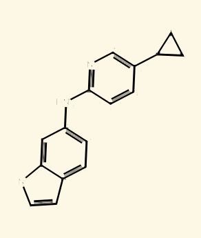 c1cc2ccc(Nc3ccc(C4CC4)cn3)cc2[nH]1